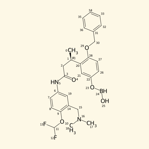 C[C@H](CC(=O)Nc1ccc(OC(F)F)c(CN(C)C)c1)c1cc(OBO)ccc1OCc1ccccc1